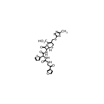 Cc1nnc(SCC2=C(C(=O)O)N3C(=O)C(NC(=O)C(NC(=O)NCC(=O)c4ccoc4)c4cccs4)[C@@H]3SC2)s1